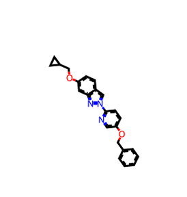 c1ccc(COc2ccc(-n3cc4ccc(OCC5CC5)cc4n3)nc2)cc1